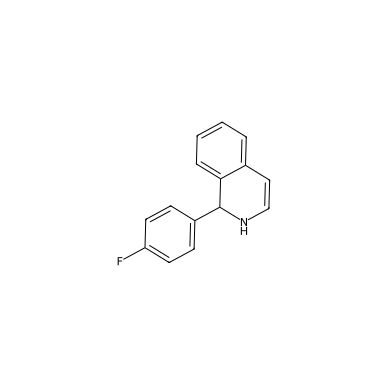 Fc1ccc(C2NC=Cc3ccccc32)cc1